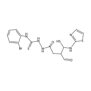 O=CC(CC(=O)NNC(=S)Nc1ccccc1Br)C(S)Nc1nccs1